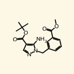 COC(=O)c1cccc(Cn2ncc(C(=O)OC(C)(C)C)c2N)c1